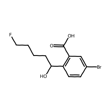 O=C(O)c1cc(Br)ccc1C(O)CCCCF